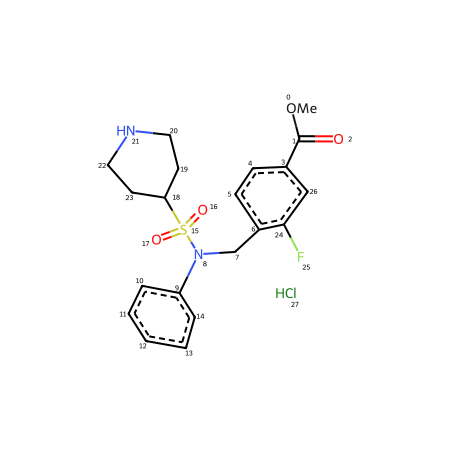 COC(=O)c1ccc(CN(c2ccccc2)S(=O)(=O)C2CCNCC2)c(F)c1.Cl